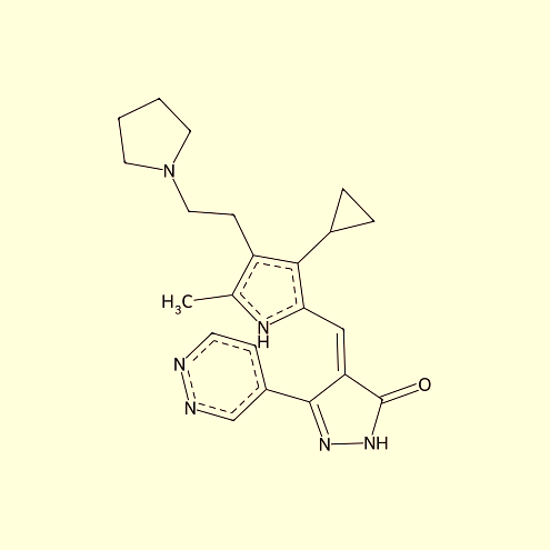 Cc1[nH]c(/C=C2/C(=O)NN=C2c2ccnnc2)c(C2CC2)c1CCN1CCCC1